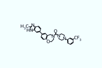 Cc1nc2ccc(-c3ccc4c(c3)CN(C(=O)N3CCN(c5cccc(C(F)(F)F)c5)CC3)CCO4)cc2[nH]1